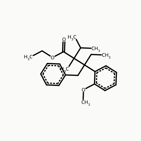 CCOC(=O)C(C)(C(C)C)C(CC)(Cc1ccccc1)c1ccccc1OC